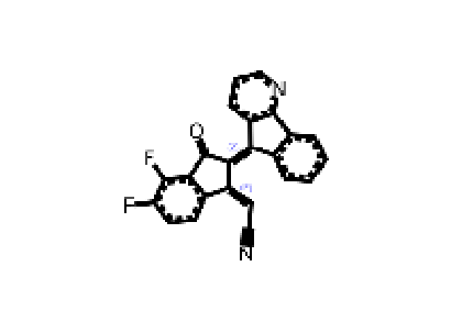 N#C/C=C1/C(=C2\c3ccccc3-c3ncccc32)C(=O)c2c1ccc(F)c2F